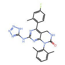 Cc1cc(F)ccc1-c1nc(Nc2nnn[nH]2)nc2c1CNC(=O)N2c1c(C)cccc1C